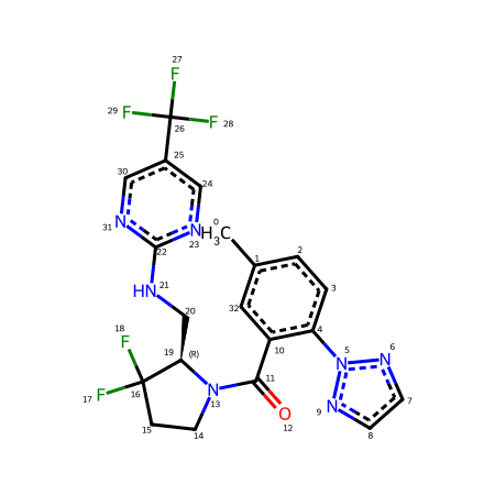 Cc1ccc(-n2nccn2)c(C(=O)N2CCC(F)(F)[C@H]2CNc2ncc(C(F)(F)F)cn2)c1